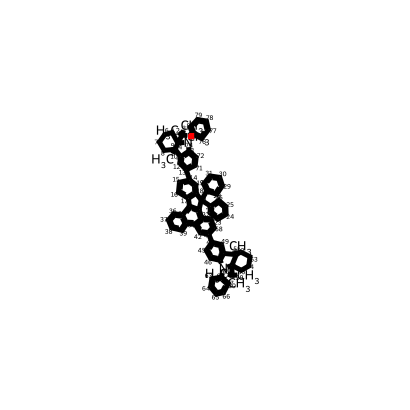 CC(C)(C)C12CCCCC1(C)c1cc(-c3ccc4c(c3)C(c3ccccc3)(c3ccccc3)c3c-4c4ccccc4c4cc(-c5ccc6c(c5)C5(C)CCCCC5(C(C)(C)C)N6c5ccccc5)ccc34)ccc1N2c1ccccc1